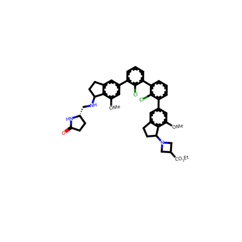 CCOC(=O)C1CN(C2CCc3cc(-c4cccc(-c5cccc(-c6cc7c(c(OC)c6)C(NC[C@@H]6CCC(=O)N6)CC7)c5Cl)c4Cl)cc(OC)c32)C1